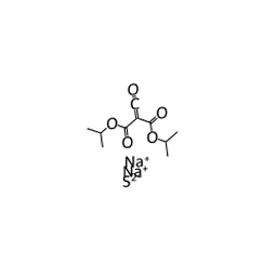 CC(C)OC(=O)C(=C=O)C(=O)OC(C)C.[Na+].[Na+].[S-2]